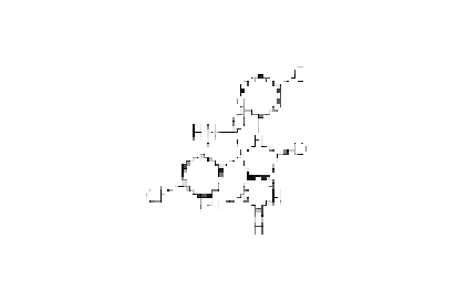 CC(C)c1[nH]nc2c1C1(C(=O)Nc3cc(Cl)ccc31)N(c1cc(Cl)ccn1)C2=O